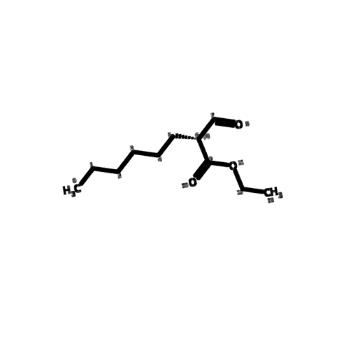 CCCCCC[C@H](C=O)C(=O)OCC